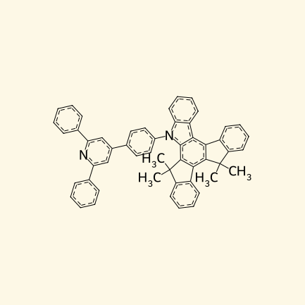 CC1(C)c2ccccc2-c2c1c1c(c3c2c2ccccc2n3-c2ccc(-c3cc(-c4ccccc4)nc(-c4ccccc4)c3)cc2)C(C)(C)c2ccccc2-1